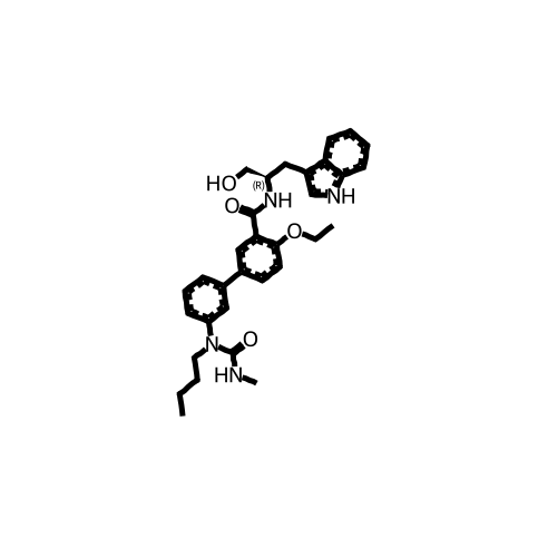 CCCCN(C(=O)NC)c1cccc(-c2ccc(OCC)c(C(=O)N[C@@H](CO)Cc3c[nH]c4ccccc34)c2)c1